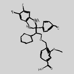 COc1cc(C(=O)O)ccc1COCC(C1CCCCC1)C1(c2ccc(Cl)cc2)Nc2cc(F)c(F)cc2N1